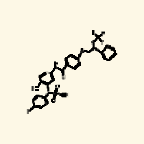 O=C(Nc1ccc(O)c(N(c2ccc(F)cc2)S(=O)(=O)O)c1)c1ccc(OCC(SC(F)(F)F)c2ccccc2)cc1